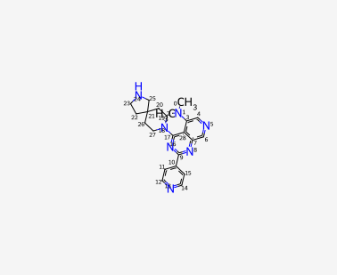 CN(C)c1cncc2nc(-c3ccncc3)nc(N3CCC4(CCNC4)CC3)c12